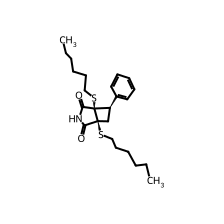 CCCCCCS[C@]12C[C@H](c3ccccc3)[C@@]1(SCCCCCC)C(=O)NC2=O